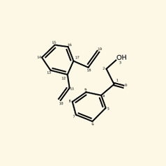 C=C(CO)c1ccccc1.C=Cc1ccccc1C=C